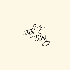 CCC(CN(C)Cc1ccccc1)OC(=O)C1=C(C)NC(C)=C(C(=O)O)C1c1cccc(-n2ccnc2)c1